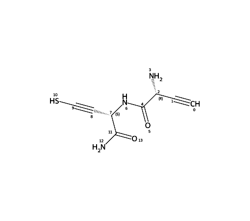 C#C[C@@H](N)C(=O)N[C@@H](C#CS)C(N)=O